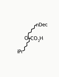 CCCCCCCCCCCCCCCC1OC1(CCCCCC(C)C)C(=O)O